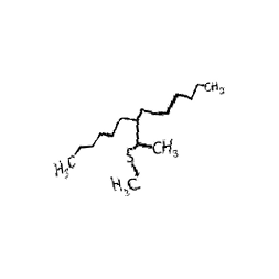 CCCCCCC(CCCCCC)C(C)SCC